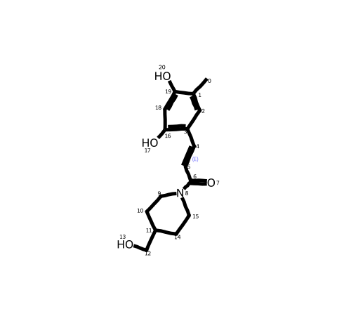 Cc1cc(/C=C/C(=O)N2CCC(CO)CC2)c(O)cc1O